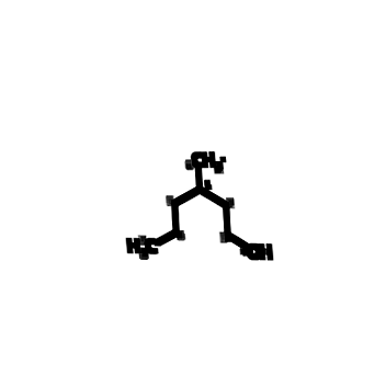 [CH2]C(C[CH]O)CCC